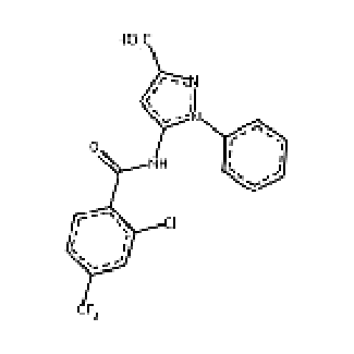 O=C(O)c1cc(NC(=O)c2ccc(C(F)(F)F)cc2Cl)n(-c2ccccc2)n1